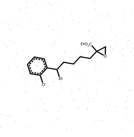 CCOC(=O)C1(CCCCC(CC)c2ccccc2Cl)CO1